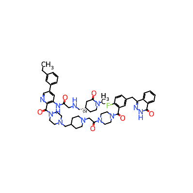 CCc1cccc(-c2cnc(C(=O)N3CCN(CC4CCN(CC(=O)N5CCN(C(=O)c6cc(Cc7n[nH]c(=O)c8ccccc78)ccc6F)CC5)CC4)CC3)c(NC(=O)CNC[C@H]3CCN(C)C(=O)C3)c2)c1